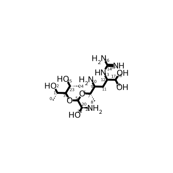 C[C@H](O)C(OC(O[C@@H](C)C(N)CC(NC(=N)N)C(O)O)[C@@H](N)O)[C@@H](C)O